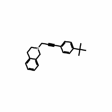 CC(C)(C)c1ccc(C#CCN2CCc3ccccc3C2)cc1